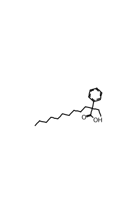 CCCCCCCCCCC(CC)(C(=O)O)c1ccccc1